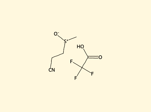 C[S+]([O-])CCC#N.O=C(O)C(F)(F)F